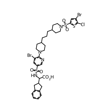 O=C(O)C(NS(=O)(=O)c1cnc(N2CCC(CCCC3CCN(S(=O)(=O)c4cc(Br)c(Cl)s4)CC3)CC2)c(Br)c1)C1Cc2ccccc2C1